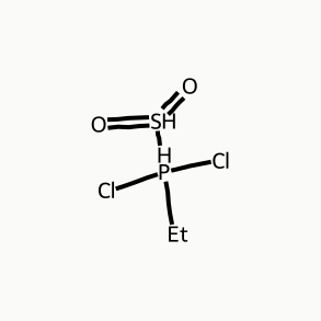 CC[PH](Cl)(Cl)[SH](=O)=O